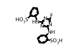 O=S(=O)(O)c1ccccc1Nc1nc(F)nc(Nc2ccccc2S(=O)(=O)O)n1